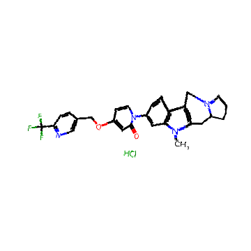 Cl.Cn1c2c(c3ccc(-n4ccc(OCc5ccc(C(F)(F)F)nc5)cc4=O)cc31)CN1CCCC1C2